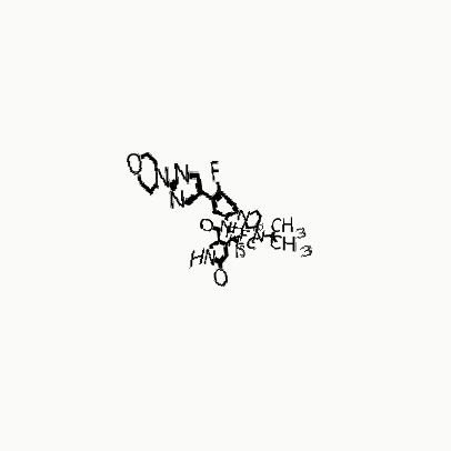 CC(C)N(C)[C@@H]1CCN(c2cc(F)c(-c3cnc(N4CCOCC4)nc3)cc2NC(=O)c2c[nH]c(=O)cc2C(F)(F)F)C1